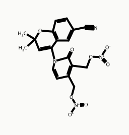 CC1(C)C=C(n2ccc(CO[N+](=O)[O-])c(CO[N+](=O)[O-])c2=O)c2cc(C#N)ccc2O1